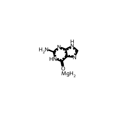 Nc1nc2[nH]cnc2c(=O)[nH]1.[MgH2]